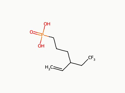 C=CC(CCCP(=O)(O)O)CC(F)(F)F